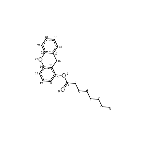 CCCCCCCC(=O)Oc1cccc2c1Cc1ccccc1O2